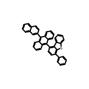 c1ccc(-c2ccc(-c3c4ccccc4c(-c4ccc5ccccc5c4)c4ccccc34)c3c2sc2ccccc23)cc1